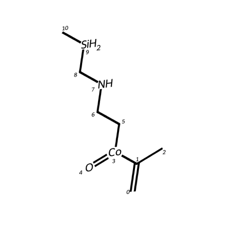 C=[C](C)[Co](=[O])[CH2]CNC[SiH2]C